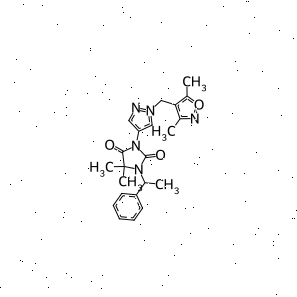 Cc1noc(C)c1Cn1cc(N2C(=O)N(C(C)c3ccccc3)C(C)(C)C2=O)cn1